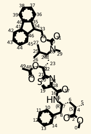 COC(=O)[C@@H](C)C[C@H](Cc1ccccc1)NC(=O)c1csc([C@@H](C[C@H](C(C)C)N(C)C(=O)OCC2c3ccccc3-c3ccccc32)OC(C)=O)n1